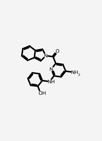 Nc1cc(Nc2ccccc2O)nc(C(=O)n2cc3ccccc3c2)c1